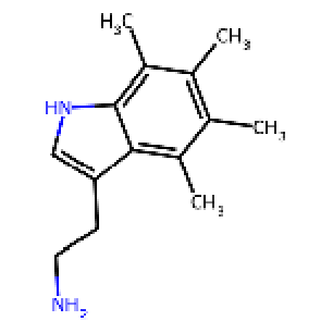 Cc1c(C)c(C)c2c(CCN)c[nH]c2c1C